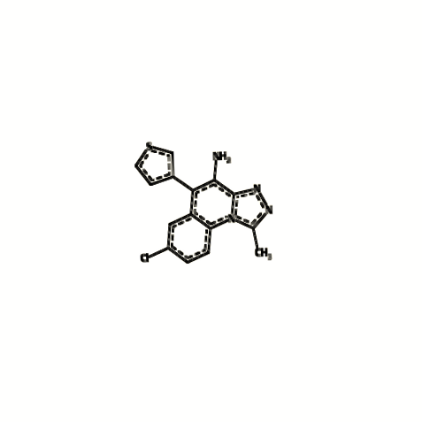 Cc1nnc2c(N)c(-c3ccsc3)c3cc(Cl)ccc3n12